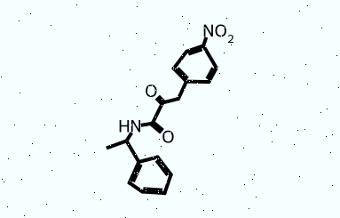 CC(NC(=O)C(=O)Cc1ccc([N+](=O)[O-])cc1)c1ccccc1